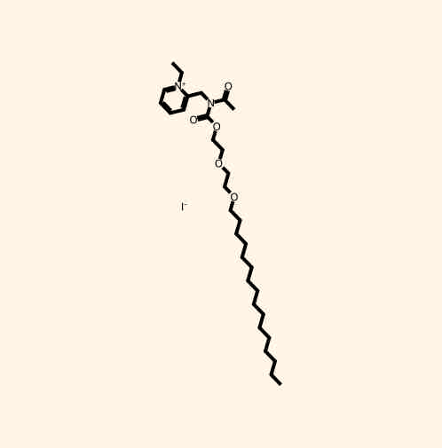 CCCCCCCCCCCCCCCCOCCOCCOC(=O)N(Cc1cccc[n+]1CC)C(C)=O.[I-]